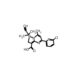 C#CC(C)(C)N1CC(C(=O)O)=C2N=C(c3cccc(Cl)n3)C=C(C)N21